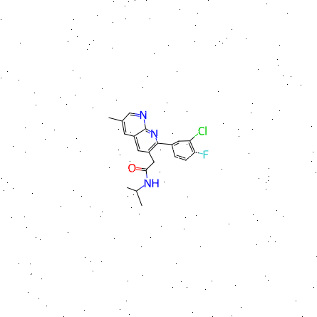 Cc1cnc2nc(-c3ccc(F)c(Cl)c3)c(CC(=O)NC(C)C)cc2c1